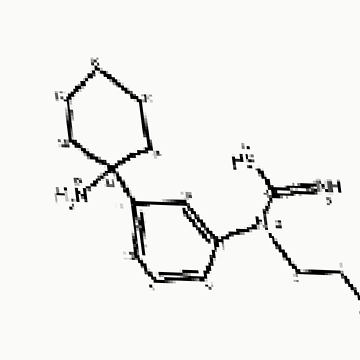 CCCN(C(=N)S)c1cccc(C2(N)CCCCC2)c1